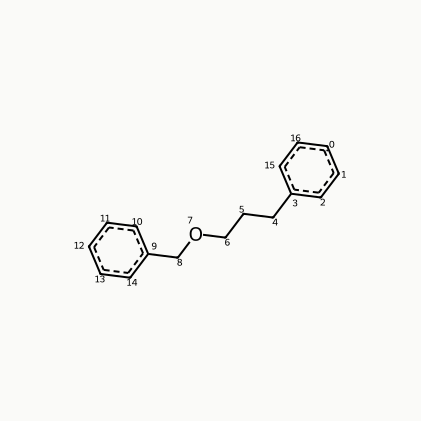 [c]1ccc(CCCOCc2ccccc2)cc1